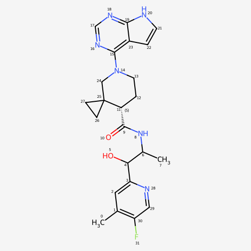 Cc1cc(C(O)C(C)NC(=O)[C@H]2CCN(c3ncnc4[nH]ccc34)CC23CC3)ncc1F